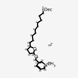 CCCCCCCCCCCCCCCCCCCCC1CCC(OCc2ccc[n+](C)c2)O1.[I-]